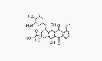 COc1cccc2c1C(=O)c1c(O)c3c(c(O)c1C2=O)C[C@@](O)(C(=O)CO)CC3OC1CC(C)C(O)C(N)C1